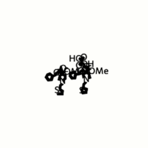 COC(=O)C1(N(OCc2ccccc2)C(C)=O)CCN(CCc2cccs2)CC1.COC(=O)C1(N(OCc2ccccc2)C(C)=O)CCN(CCc2cccs2)CC1.O=C(O)C(=O)O